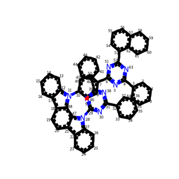 c1ccc(-c2nc(-c3ccc(-n4c5ccccc5c5ccc6c7ccccc7n(-c7nc(-c8ccccc8)nc(-c8ccccc8)n7)c6c54)cc3)nc(-c3cccc4ccccc34)n2)cc1